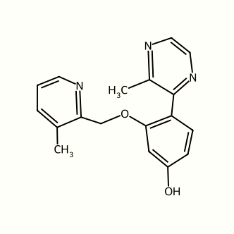 Cc1cccnc1COc1cc(O)ccc1-c1nccnc1C